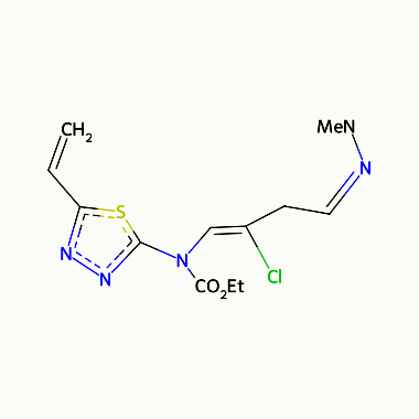 C=Cc1nnc(N(/C=C(\Cl)C/C=N\NC)C(=O)OCC)s1